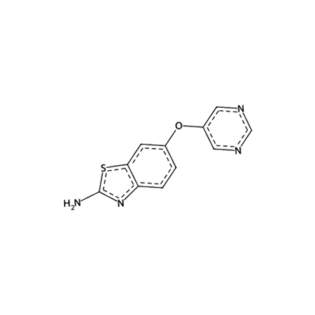 Nc1nc2ccc(Oc3cncnc3)cc2s1